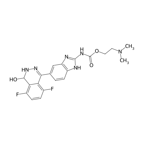 CN(C)CCOC(=O)Nc1nc2cc(C3=NNC(O)c4c(F)ccc(F)c43)ccc2[nH]1